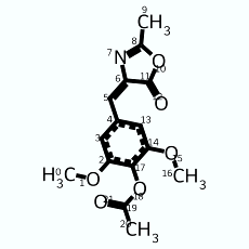 COc1cc(C=C2N=C(C)OC2=O)cc(OC)c1OC(C)=O